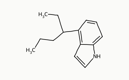 CCCC(CC)c1cccc2[nH]ccc12